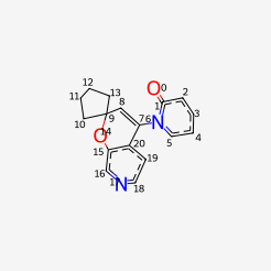 O=c1ccccn1C1=CC2(CCCC2)Oc2cnccc21